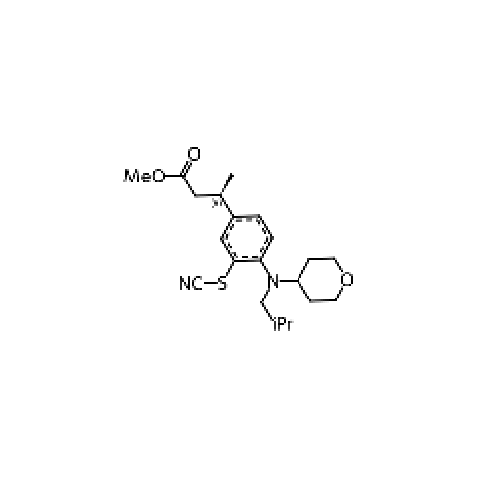 COC(=O)C[C@@H](C)c1ccc(N(CC(C)C)C2CCOCC2)c(SC#N)c1